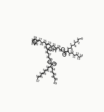 CCCCCCCCC(CCCCCC)C(=O)OCCCCCCC(CCCC1C=CN=C1)CC(O)CCCCOC(=O)C(CCCCCC)CCCCCCCC